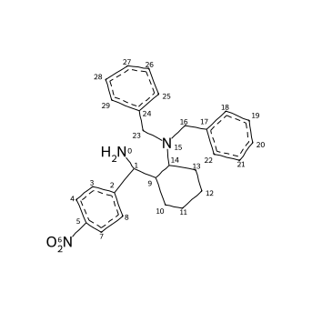 NC(c1ccc([N+](=O)[O-])cc1)C1CCCCC1N(Cc1ccccc1)Cc1ccccc1